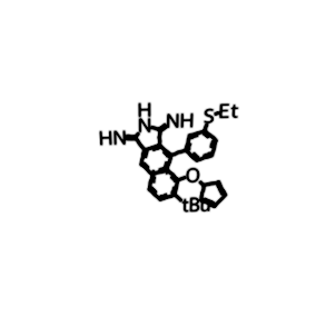 CCSc1cccc(-c2c3c(cc4ccc(C(C)(C)C)c(OC5C=CC=C5)c24)C(=N)NC3=N)c1